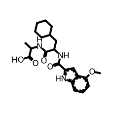 COc1cccc2[nH]c(C(=O)NC(CC3CCCCC3)C(=O)NC(C)C(=O)O)cc12